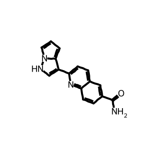 NC(=O)c1ccc2nc(-c3c[nH]n4cccc34)ccc2c1